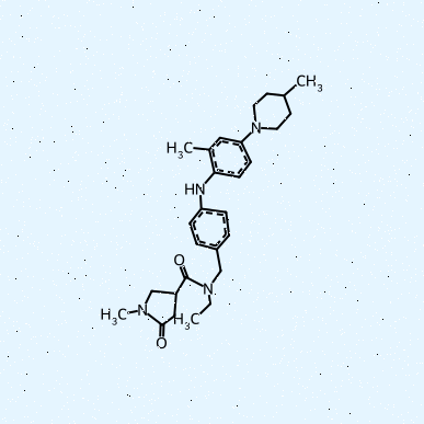 CCN(Cc1ccc(Nc2ccc(N3CCC(C)CC3)cc2C)cc1)C(=O)C1CC(=O)N(C)C1